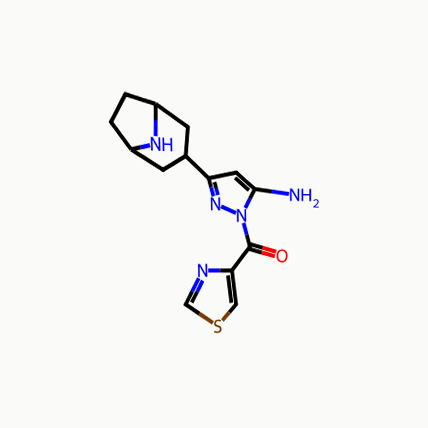 Nc1cc(C2CC3CCC(C2)N3)nn1C(=O)c1cscn1